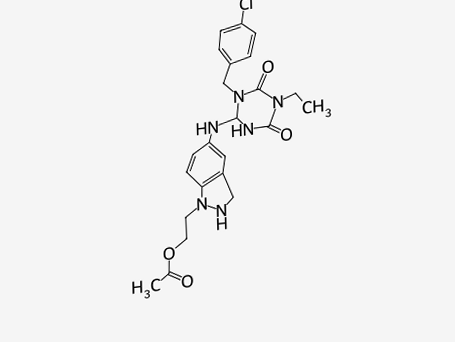 CCN1C(=O)NC(Nc2ccc3c(c2)CNN3CCOC(C)=O)N(Cc2ccc(Cl)cc2)C1=O